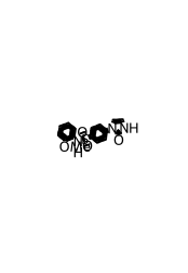 COc1ccccc1NS(=O)(=O)c1ccc(N2CCNC2=O)cc1